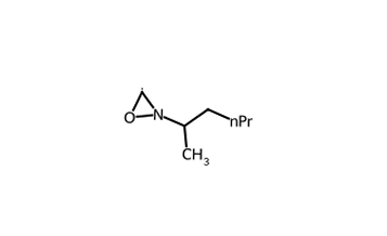 CCCCC(C)N1[CH]O1